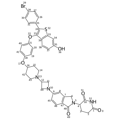 O=C1CCC(N2Cc3cc(N4CC(N5CCC(Oc6ccc(Oc7c(-c8ccc(Br)cc8)sc8cc(O)ccc78)cc6)CC5)C4)ccc3C2=O)C(=O)N1